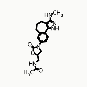 CNc1n[nH]c2c1CCCc1cc(N3CC(CNC(C)=O)OC3=O)ccc1-2